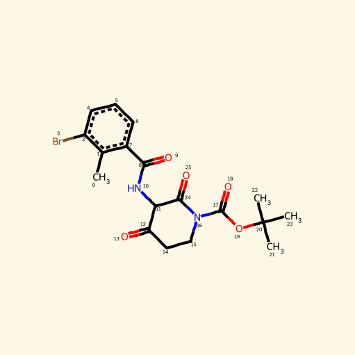 Cc1c(Br)cccc1C(=O)NC1C(=O)CCN(C(=O)OC(C)(C)C)C1=O